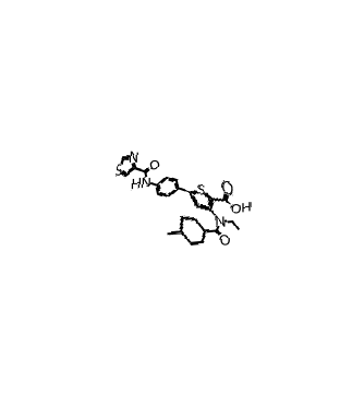 CCN(C(=O)C1CCC(C)CC1)c1cc(-c2ccc(NC(=O)c3cscn3)cc2)sc1C(=O)O